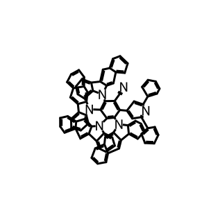 N#Cc1c(-c2cc(-c3ccccc3)nc(-c3ccccc3)c2)c(-n2c3ccccc3c3cc4ccccc4cc32)c(-n2c3ccccc3c3cc4ccccc4cc32)c(-n2c3ccccc3c3cc4ccccc4cc32)c1-n1c2ccccc2c2cc3ccccc3cc21